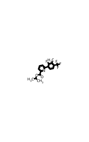 Cc1c(C(F)(F)F)ccc(-c2cccc(C(=O)OC(C)C)n2)c1F